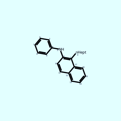 CCCCCCCc1c(Nc2ccccc2)ccc2ccccc12